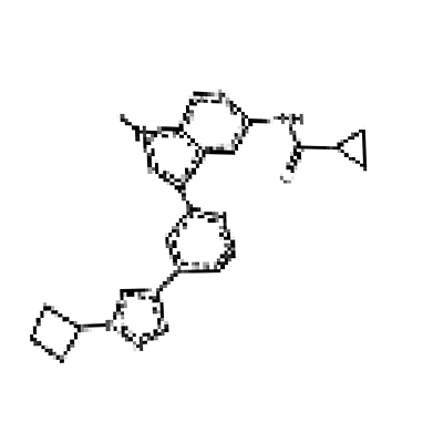 Cn1nc(-c2cc(-c3cnn(C4CCC4)c3)ccn2)c2cc(NC(=O)C3CC3)ncc21